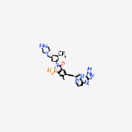 Cc1cc(P)c(C(=O)N(C)c2cc(CN3CCNCC3)cc(C(F)(F)F)c2)cc1C#Cc1cnc2c(N(C)c3cn[nH]c3)cccn12